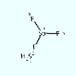 [F][Sb]([F])[F].[SH3+]